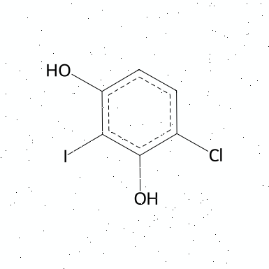 Oc1ccc(Cl)c(O)c1I